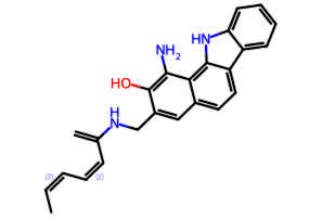 C=C(/C=C\C=C/C)NCc1cc2ccc3c4ccccc4[nH]c3c2c(N)c1O